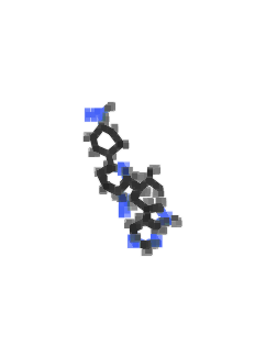 CNC1CCC(c2ccc3[nH]c(-c4cn(C)c5ncncc45)c(C(C)C)c3n2)CC1